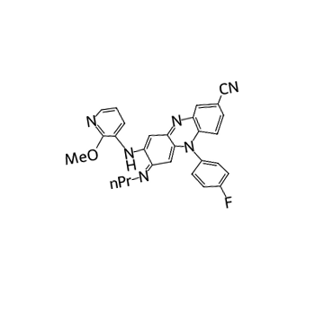 CCCN=c1cc2n(-c3ccc(F)cc3)c3ccc(C#N)cc3nc-2cc1Nc1cccnc1OC